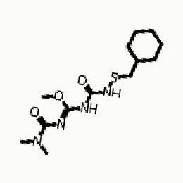 COC(=NC(=O)N(C)C)NC(=O)NSCC1CCCCC1